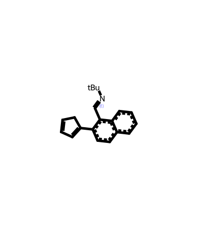 CC(C)(C)/N=C/c1c(C2=CC=CC2)ccc2ccccc12